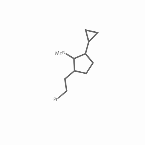 CNC1C(CCC(C)C)CCC1C1CC1